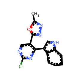 Cc1nnc(-c2cnc(Cl)nc2-c2c[nH]c3ccccc23)o1